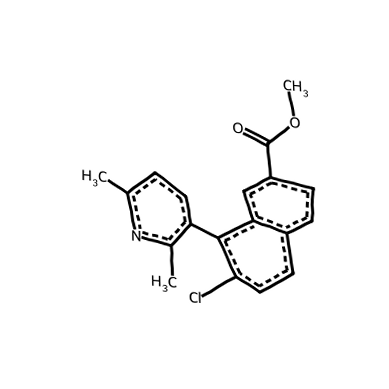 COC(=O)c1ccc2ccc(Cl)c(-c3ccc(C)nc3C)c2c1